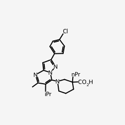 CCCC1(C(=O)O)CCCN(c2c(C(C)C)c(C)nc3cc(-c4ccc(Cl)cc4)nn23)C1